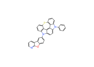 c1ccc(-n2c3cccc4sc5cccc6c5c5c(c43)c2ccc5n6-c2ccc3oc4ncccc4c3c2)cc1